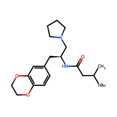 CCCCC(C)CC(=O)N[C@@H](Cc1ccc2c(c1)OCCO2)CN1CCCC1